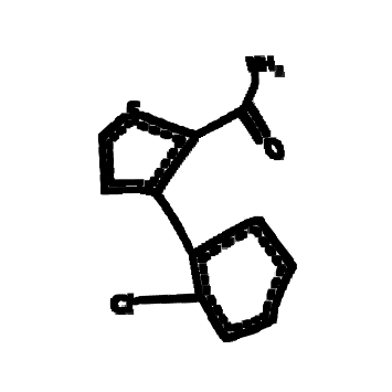 NC(=O)c1sccc1-c1ccccc1Cl